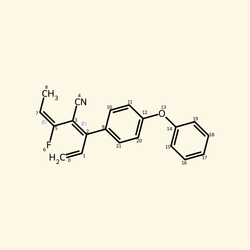 C=C/C(=C(C#N)\C(F)=C/C)c1ccc(Oc2ccccc2)cc1